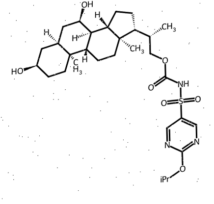 CC(C)Oc1ncc(S(=O)(=O)NC(=O)OC[C@@H](C)[C@H]2CC[C@H]3[C@@H]4[C@H](O)C[C@@H]5C[C@H](O)CC[C@]5(C)[C@H]4CC[C@]23C)cn1